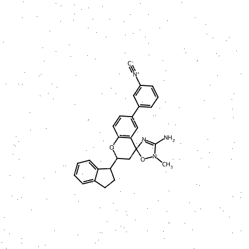 [C-]#[N+]c1cccc(-c2ccc3c(c2)C2(CC(C4CCc5ccccc54)O3)N=C(N)N(C)O2)c1